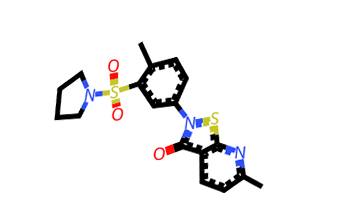 Cc1ccc2c(=O)n(-c3ccc(C)c(S(=O)(=O)N4CCCC4)c3)sc2n1